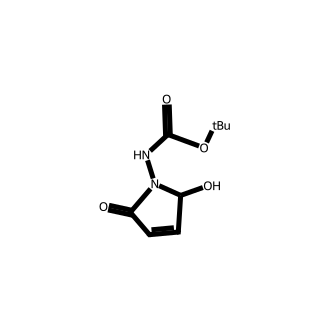 CC(C)(C)OC(=O)NN1C(=O)C=CC1O